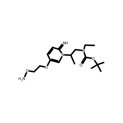 CCN(CC(C)n1cc(OCCON)ccc1=N)C(=O)OC(C)(C)C